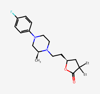 CCC1(CC)C[C@H](CCN2CCN(c3ccc(F)cc3)C[C@@H]2C)OC1=O